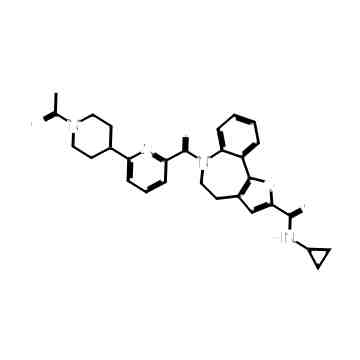 CC(=O)N1CCC(c2cccc(C(=O)N3CCc4cc(C(=O)NC5CC5)sc4-c4ccccc43)n2)CC1